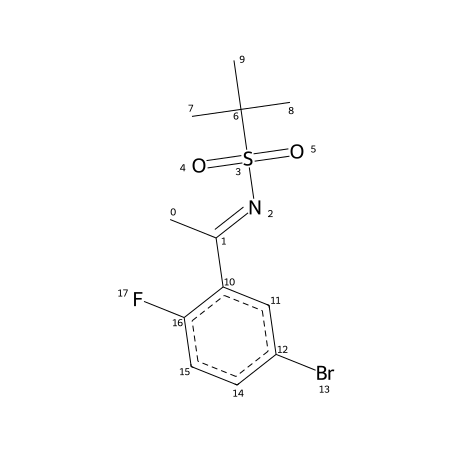 C/C(=N\S(=O)(=O)C(C)(C)C)c1cc(Br)ccc1F